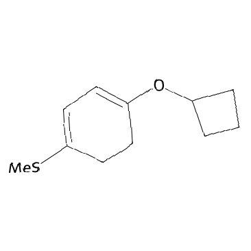 CSC1=CC=C(OC2CCC2)CC1